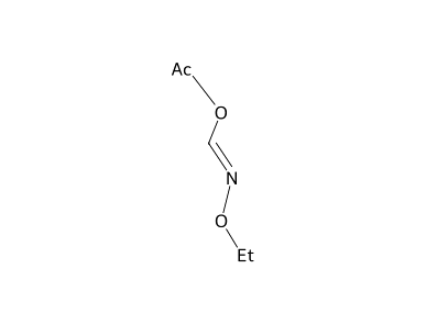 [CH2]C(=O)OC=NOCC